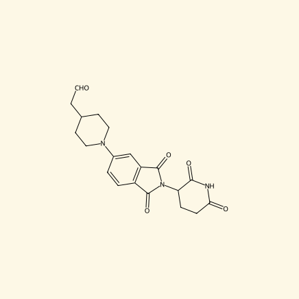 O=CCC1CCN(c2ccc3c(c2)C(=O)N(C2CCC(=O)NC2=O)C3=O)CC1